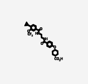 O=C(NCCNC(=O)c1ccc(C2CC2)c(OC(F)(F)F)c1)c1ccc(O[C@H]2CC[C@@H](C(=O)O)CC2)cc1